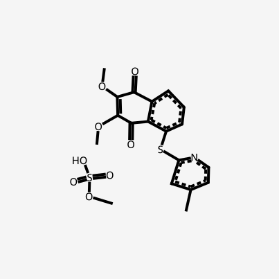 COC1=C(OC)C(=O)c2c(Sc3cc(C)ccn3)cccc2C1=O.COS(=O)(=O)O